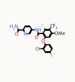 COc1cc(Oc2ccc(F)cc2Cl)c(C(=O)Nc2ccc(C(N)=O)nc2)c(F)c1C(F)(F)F